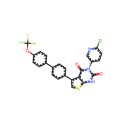 O=c1[nH]c2scc(-c3ccc(-c4ccc(OC(F)(F)F)cc4)cc3)c2c(=O)n1-c1ccc(Cl)nc1